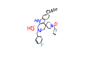 COc1ccc2c3c([nH]c2c1)[C@@H](CO)N(Cc1ccc(F)cc1)CC31CCN(C(=O)C2CCC2)CC1